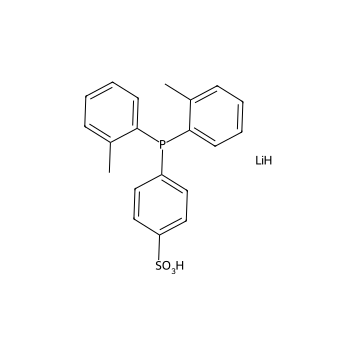 Cc1ccccc1P(c1ccc(S(=O)(=O)O)cc1)c1ccccc1C.[LiH]